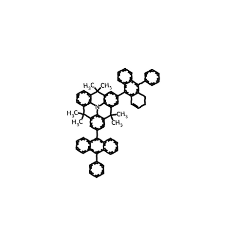 CC1(C)c2cccc3c2N2c4c1cc(-c1c5c(c(-c6ccccc6)c6ccccc16)CCC=C5)cc4C(C)(C)c1cc(-c4c5ccccc5c(-c5ccccc5)c5ccccc45)cc(c12)C3(C)C